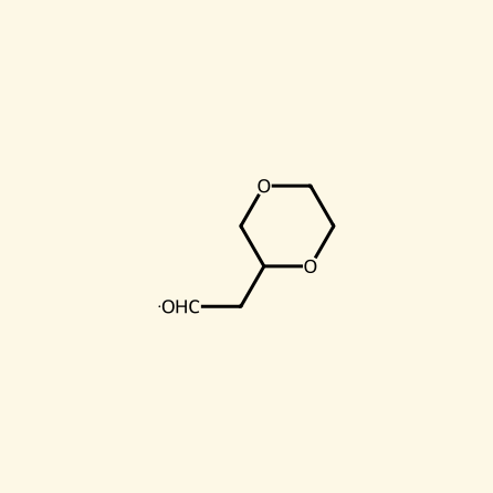 O=[C]CC1COCCO1